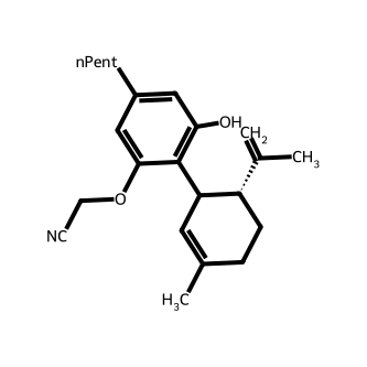 C=C(C)[C@@H]1CCC(C)=CC1c1c(O)cc(CCCCC)cc1OCC#N